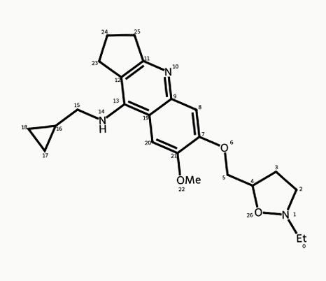 CCN1CCC(COc2cc3nc4c(c(NCC5CC5)c3cc2OC)CCC4)O1